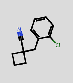 N#CC1(Cc2ccccc2Cl)CCC1